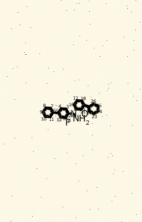 NN(c1ccc(-c2ccccc2)cc1F)c1cccc2c1oc1ccccc12